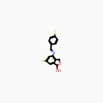 OC1OCc2c(/N=C/c3ccc(F)cc3)cc(F)cc21